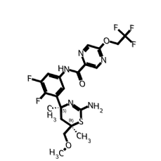 COC[C@@]1(C)C[C@@](C)(c2cc(NC(=O)c3cnc(OCC(F)(F)F)cn3)cc(F)c2F)N=C(N)S1